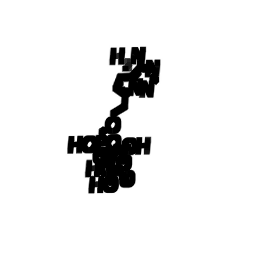 Nc1ncnn2c(CCOCP(=O)(O)OP(=O)(O)OP(=O)(O)O)ccc12